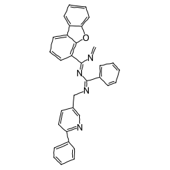 C=N/C(=N\C(=N/Cc1ccc(-c2ccccc2)nc1)c1ccccc1)c1cccc2c1oc1ccccc12